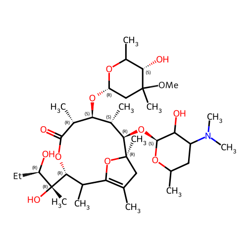 CC[C@@H](O)[C@@](C)(O)[C@@H]1OC(=O)[C@H](C)[C@@H](O[C@H]2CC(C)(OC)[C@@H](O)C(C)O2)[C@H](C)[C@@H](O[C@@H]2OC(C)CC(N(C)C)C2O)[C@@]2(C)CC(C)=C(O2)C1C